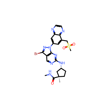 CNC(=O)[C@]1(C)CC[C@@H](Nc2ncc3c(Br)nn(-c4cc(CS(C)(=O)=O)c5nccnc5c4)c3n2)C1